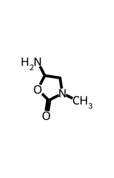 CN1CC(N)OC1=O